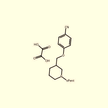 CCCCCN1CCCC(COc2ccc(C#N)cc2)C1.O=C(O)C(=O)O